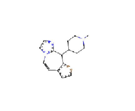 CN1CCC(C2c3sccc3C=Cn3ccnc32)CC1